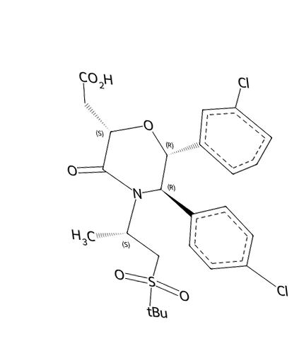 C[C@@H](CS(=O)(=O)C(C)(C)C)N1C(=O)[C@H](CC(=O)O)O[C@H](c2cccc(Cl)c2)[C@H]1c1ccc(Cl)cc1